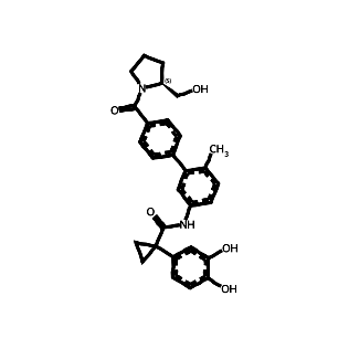 Cc1ccc(NC(=O)C2(c3ccc(O)c(O)c3)CC2)cc1-c1ccc(C(=O)N2CCC[C@H]2CO)cc1